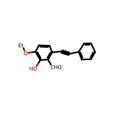 CCOc1ccc(C#Cc2ccccc2)c(C=O)c1O